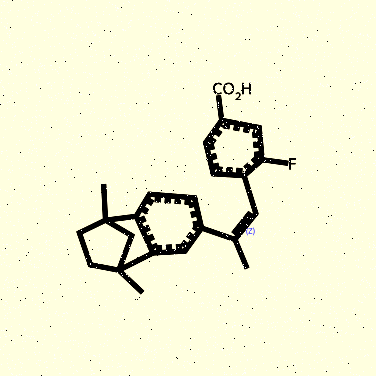 C/C(=C/c1ccc(C(=O)O)cc1F)c1ccc2c(c1)C1(C)CCC2(C)C1